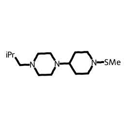 CSN1CCC(N2CCN(CC(C)C)CC2)CC1